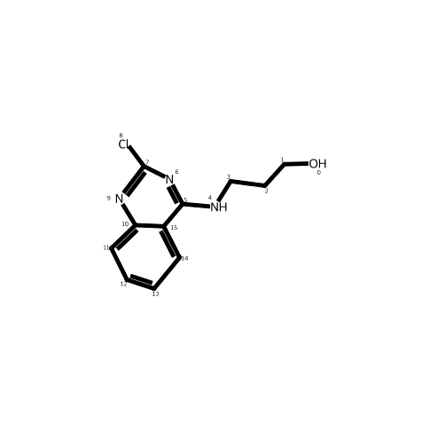 OCCCNc1nc(Cl)nc2ccccc12